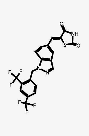 O=C1NC(=O)C(=Cc2ccc3c(cnn3Cc3ccc(C(F)(F)F)cc3C(F)(F)F)c2)S1